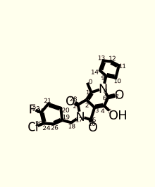 Cc1c2c(c(O)c(=O)n1-c1ccccc1)C(=O)N(Cc1ccc(F)c(Cl)c1)C2=O